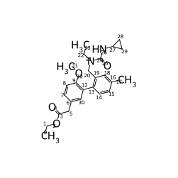 CCOC(=O)Cc1ccc(OC)c(-c2ccc(C)cc2CN(CC)C(=O)NC2CC2)c1